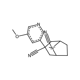 COc1cncc(C2(C#N)CC3CCC(C2)[N+]3(C)C#N)c1